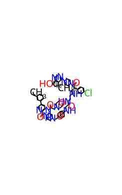 CCc1cccc(-c2cnc(C(=O)N3CCN(CC45CCC(NCC(=O)NCCNC[C@@H](C(=O)N6CCN(c7ncnc8c7[C@H](C)C[C@H]8O)CC6)c6ccc(Cl)cc6)(CC4)CO5)CC3)c(NC(=O)CN3CCOCC3)c2)c1